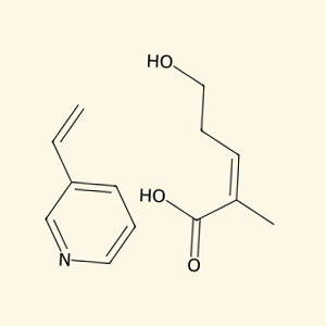 C=Cc1cccnc1.CC(=CCCO)C(=O)O